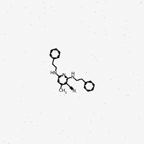 Cc1cc(NCCc2ccccc2)nc(NCCc2ccccc2)c1C#N